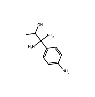 CC(O)C(N)(N)c1ccc(N)cc1